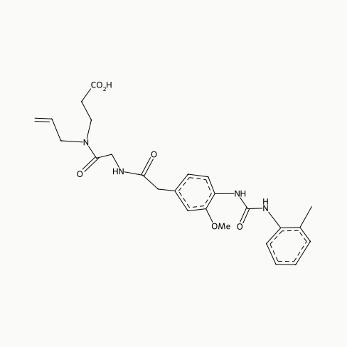 C=CCN(CCC(=O)O)C(=O)CNC(=O)Cc1ccc(NC(=O)Nc2ccccc2C)c(OC)c1